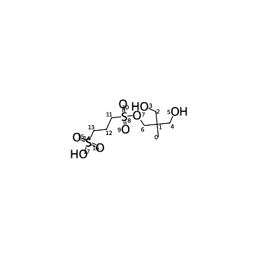 CC(CO)(CO)COS(=O)(=O)CCCS(=O)(=O)O